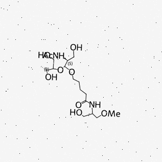 COCC(CO)NC(=O)CCCCOC(OC(CO)[C@@H](C)O)[C@H](CO)NC(C)=O